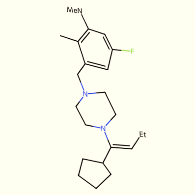 CC/C=C(/C1CCCC1)N1CCN(Cc2cc(F)cc(NC)c2C)CC1